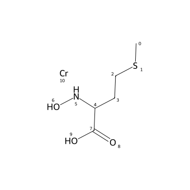 CSCCC(NO)C(=O)O.[Cr]